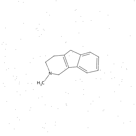 CN1CCC2=C(C1)c1ccccc1C2